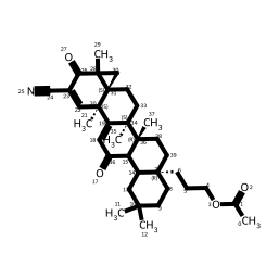 CC(=O)OCCC[C@]12CCC(C)(C)CC1C1C(=O)C=C3[C@@]4(C)C=C(C#N)C(=O)C5(C)C[C@]54CC[C@@]3(C)[C@]1(C)CC2